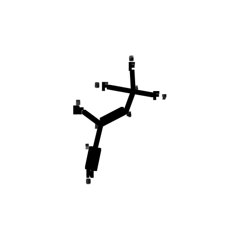 N#CC(Br)=CC(F)(F)F